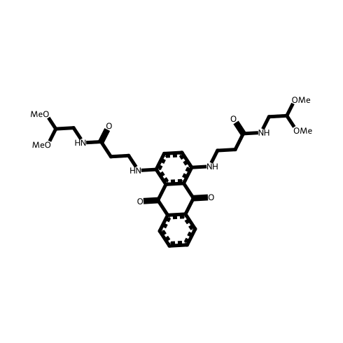 COC(CNC(=O)CCNc1ccc(NCCC(=O)NCC(OC)OC)c2c1C(=O)c1ccccc1C2=O)OC